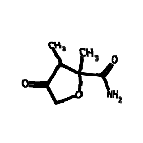 C[C]1C(=O)COC1(C)C(N)=O